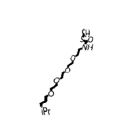 CC(C)CCCOCCOCCOCCOCCNC(=O)SS